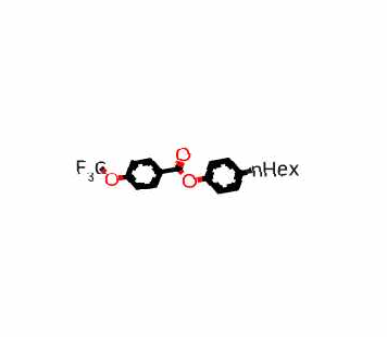 CCCCCCc1ccc(OC(=O)c2ccc(OC(F)(F)F)cc2)cc1